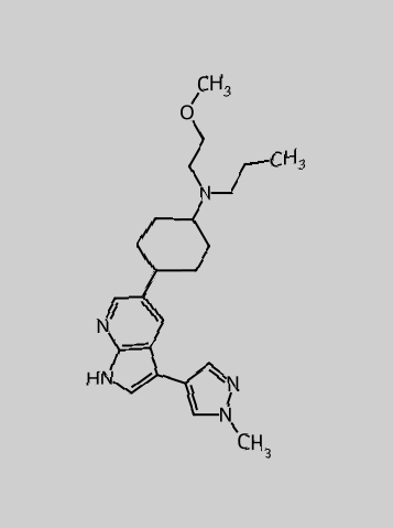 CCCN(CCOC)C1CCC(c2cnc3[nH]cc(-c4cnn(C)c4)c3c2)CC1